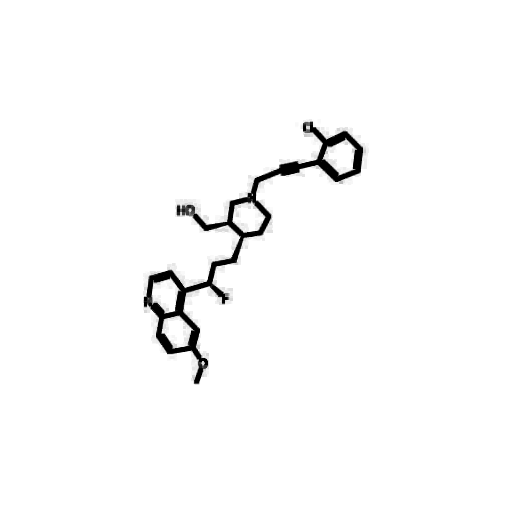 COc1ccc2nccc([C@H](F)CC[C@@H]3CCN(CC#Cc4ccccc4Cl)C[C@@H]3CO)c2c1